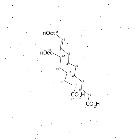 CCCCCCCCC=CCCCCCCCC(=O)O.CCCCCCCCCCCCCCCC(=O)O